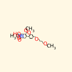 CCOCCCCOCc1ccc(C2=C(C(=O)OC)C3CN(C)C(=O)C(C2)N3C(=O)O)cc1